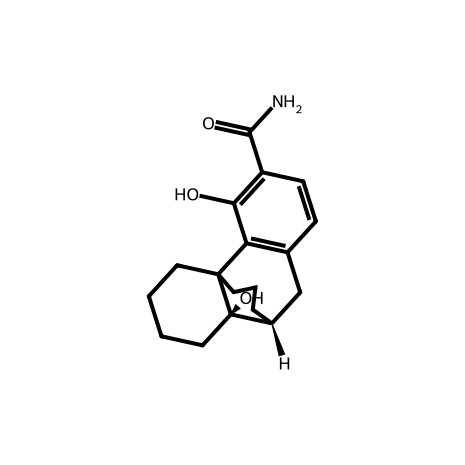 NC(=O)c1ccc2c(c1O)C13CCCC[C@@]1(O)[C@H](CCC3)C2